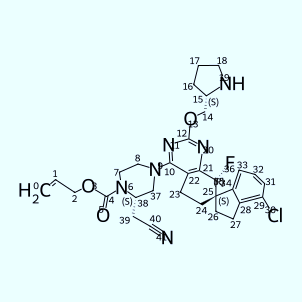 C=CCOC(=O)N1CCN(c2nc(OC[C@@H]3CCCN3)nc3c2CC[C@@]2(CCc4c(Cl)cccc42)[C@H]3F)C[C@@H]1CC#N